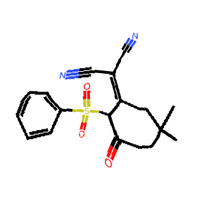 CC1(C)CC(=O)C(S(=O)(=O)c2ccccc2)C(=C(C#N)C#N)C1